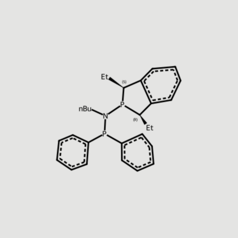 CCCCN(P(c1ccccc1)c1ccccc1)P1[C@H](CC)c2ccccc2[C@@H]1CC